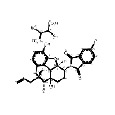 C=CCN1CC[C@]23c4c5ccc(O)c4O[C@H]2[C@@H](N2C(=O)c4ccc(F)cc4C2=O)CCC3(O)[C@H]1C5.O=C(O)C(O)C(O)C(=O)O